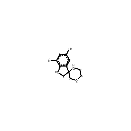 Clc1cc(Br)c2c(c1)C1(COCCN1)CO2